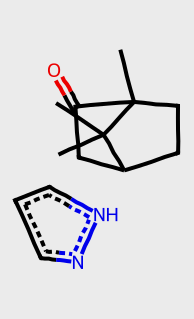 CC12CCC(CC1=O)C2(C)C.c1cn[nH]c1